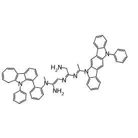 C\C(=N/C(CN)=N/C=C(\N)N(C)c1ccccc1-c1cccc2c3c(n(-c4ccccc4)c12)CC=CC=C3)n1c2ccccc2c2cc3c(cc21)c1ccccc1n3-c1ccccc1